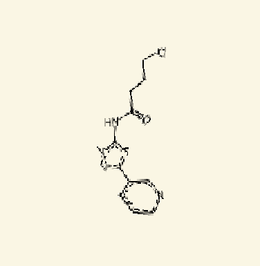 O=C(CCCCl)Nc1nnc(-c2cccnc2)s1